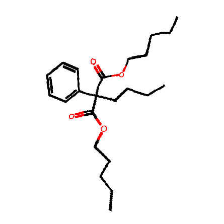 CCCCCOC(=O)C(CCCC)(C(=O)OCCCCC)c1ccccc1